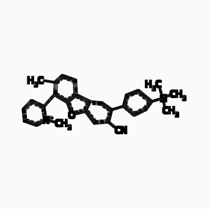 Cc1ccc2c(oc3cc(C#N)c(-c4ccc([Si](C)(C)C)cc4)cc32)c1-c1cccc[n+]1C